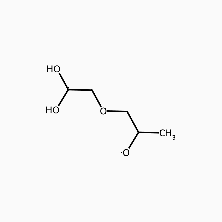 CC([O])COC[C](O)O